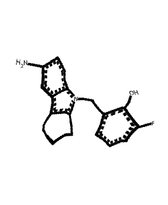 Nc1ccc2c(c1)c1c(n2Cc2cccc(F)c2O)CCC1